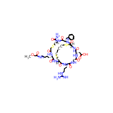 COCC(=O)NCCCC[C@@H]1NC(=O)CSC[C@@H](C(N)=O)NC(=O)[C@H](Cc2ccccc2)NC(=O)[C@@H]2CSCCCCCSC[C@H](NC1=O)C(=O)N[C@@H](CCCNC(=N)N)C(=O)NCC(=O)N[C@@H](CC(=O)O)C(=O)N2